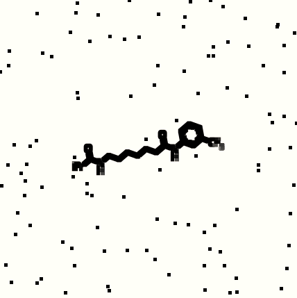 CC(C)C(=O)NCCCCCCC(=O)Nc1cccc(C(F)(F)F)c1